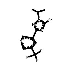 CC(C)n1nc(-c2cncc(C(F)(F)F)c2)nc1Br